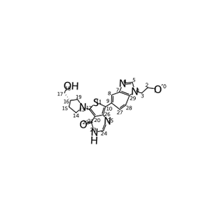 COCCn1cnc2cc(-c3sc(N4CC[C@H](CO)C4)c4c(=O)[nH]cnc34)ccc21